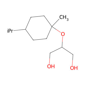 CC(C)C1CCC(C)(OC(CO)CO)CC1